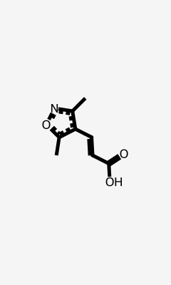 Cc1noc(C)c1C=CC(=O)O